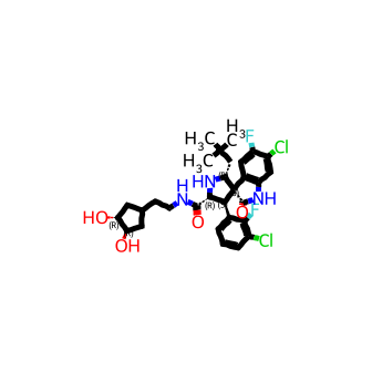 CC(C)(C)C[C@H]1N[C@@H](C(=O)NCCC2C[C@@H](O)[C@H](O)C2)[C@H](c2cccc(Cl)c2F)[C@@]12C(=O)Nc1cc(Cl)c(F)cc12